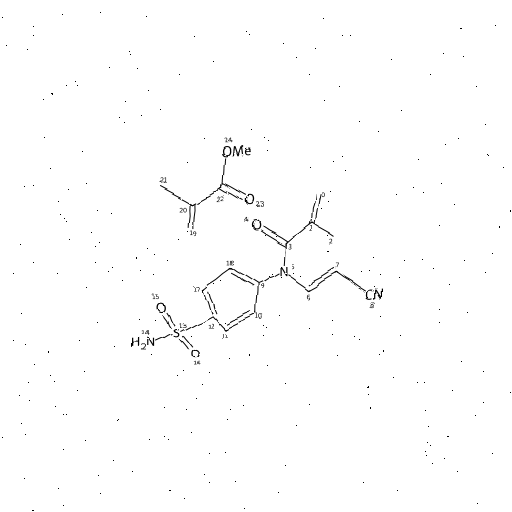 C=C(C)C(=O)N(C=CC#N)c1ccc(S(N)(=O)=O)cc1.C=C(C)C(=O)OC